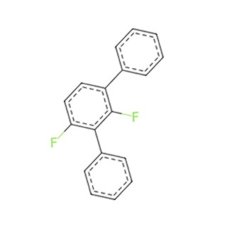 Fc1ccc(-c2ccccc2)c(F)c1-c1ccccc1